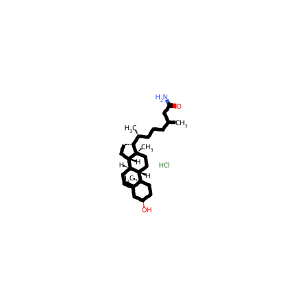 CC(CCC[C@@H](C)[C@H]1CC[C@H]2[C@@H]3CC=C4C[C@@H](O)CC[C@]4(C)[C@H]3CC[C@]12C)CC(N)=O.Cl